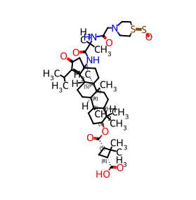 CC(C)C1=C2[C@H]3CC[C@@H]4[C@@]5(C)CC[C@H](OC(=O)[C@H]6C[C@@H](C(=O)O)C6(C)C)C(C)(C)[C@@H]5CC[C@@]4(C)[C@]3(C)CC[C@@]2(NC(=O)C(C)(C)NC(=O)CN2CCS(=S=O)CC2)CC1=O